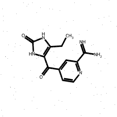 CCc1[nH]c(=O)[nH]c1C(=O)c1ccnc(C(=N)N)c1